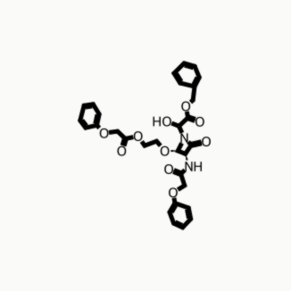 O=C(COc1ccccc1)N[C@H]1C(=O)N(C(O)C(=O)OCc2ccccc2)[C@H]1OCCOC(=O)COc1ccccc1